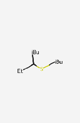 CCC(C)SC(CC)C(C)CC